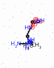 CC(C)c1cnn2c(NCc3ccc(CCCCCCNC(=O)COc4cccc5c4C(=O)N(C4CCC(=O)NC4=O)C5=O)cc3)cc(NCCCCCCN)nc12